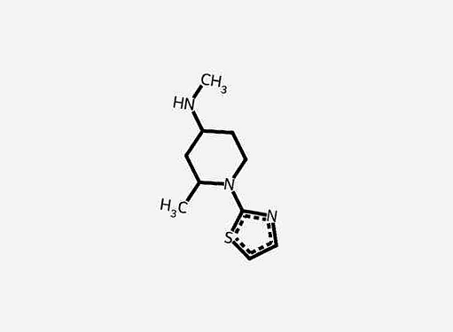 CNC1CCN(c2nccs2)C(C)C1